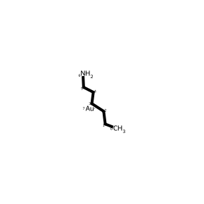 CCCCCCN.[Au]